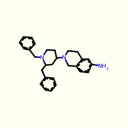 Nc1ccc2c(c1)CCN(C1CCN(Cc3ccccc3)C(Cc3ccccc3)C1)C2